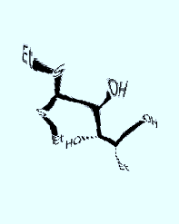 CCSC(SCC)[C@@H](O)[C@@H](O)[C@H](O)CC